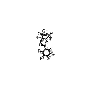 O=C(OC(C(F)(F)F)C(F)(F)S(=O)(=O)O)c1c(F)c(F)c(F)c(F)c1F